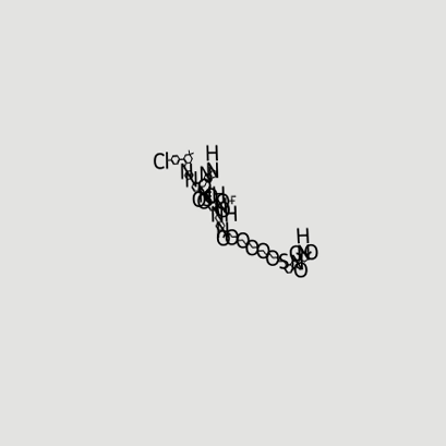 CC1(C)CCC(CN2CCN(c3ccc(C(=O)NS(=O)(=O)c4ccc(NCC5CCN(C(=O)COCCOCCOCCOCCOCCSc6cccc7c6CN(C6CCC(=O)NC6=O)C7=O)CC5)c([N+](=O)[O-])c4)c(Oc4cnc5[nH]ccc5c4)c3)CC2)=C(c2ccc(Cl)cc2)C1